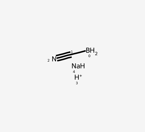 BC#N.[H+].[NaH]